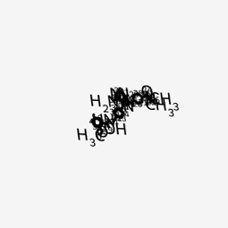 COc1ccccc1C(O)NCc1ccc(-c2nn(C3CCC(C(=O)N(C)C)CC3)c3ncnc(N)c23)cc1